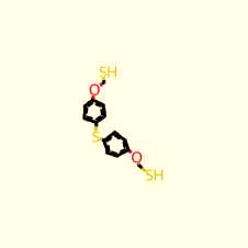 SCOc1ccc(Sc2ccc(OCS)cc2)cc1